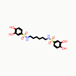 O=S(=O)(NCCCCCCNS(=O)(=O)c1ccc(O)c(O)c1)c1ccc(O)c(O)c1